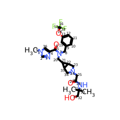 Cn1cnc(C(=O)N(Cc2cccc(OC(F)(F)F)c2)CC2C3CN(CC(=O)NC(C)(C)CO)CC32)c1